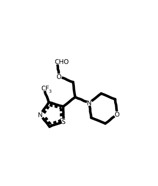 O=COCC(c1scnc1C(F)(F)F)N1CCOCC1